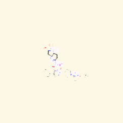 CC(C)(C)OC(=O)N[C@H](CF)[C@H]1CC[C@H](C(=O)N2CC[C@@H](C3CCCCC3)[C@H]2C(=O)Nc2ccc3[nH]c(C(=O)O)cc3n2)CC1